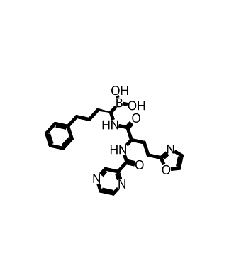 O=C(NC(CCc1ncco1)C(=O)N[C@@H](CCCc1ccccc1)B(O)O)c1cnccn1